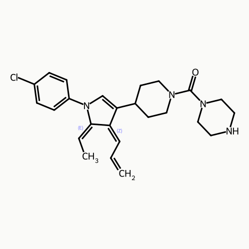 C=C/C=c1/c(C2CCN(C(=O)N3CCNCC3)CC2)cn(-c2ccc(Cl)cc2)/c1=C/C